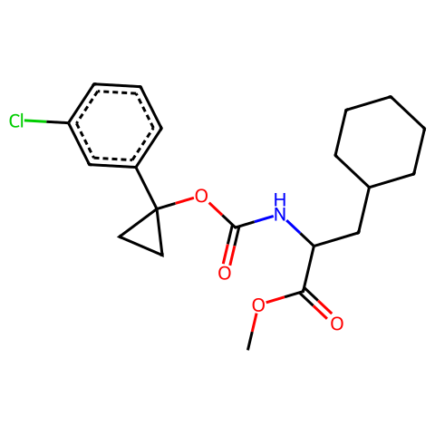 COC(=O)C(CC1CCCCC1)NC(=O)OC1(c2cccc(Cl)c2)CC1